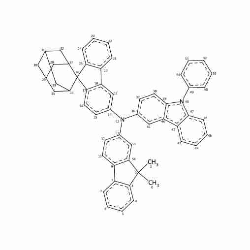 CC1(C)c2ccccc2-c2ccc(N(c3ccc4c(c3)-c3ccccc3C43C4CC5CC(C4)CC3C5)c3ccc4c(c3)c3ccccc3n4-c3ccccc3)cc21